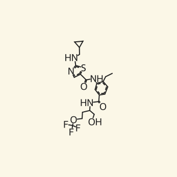 CCc1ccc(C(=O)NC(CO)CCOC(F)(F)F)cc1NC(=O)c1cnc(NCC2CC2)s1